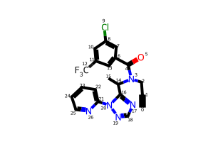 C#CCN(C(=O)c1cc(Cl)cc(C(F)(F)F)c1)C(C)c1ncnn1-c1ccccn1